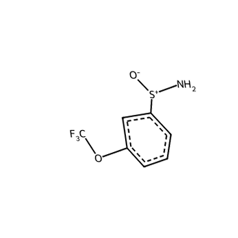 N[S+]([O-])c1cccc(OC(F)(F)F)c1